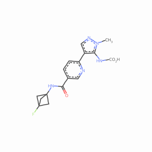 Cn1ncc(-c2ccc(C(=O)NC34CC(F)(C3)C4)cn2)c1NC(=O)O